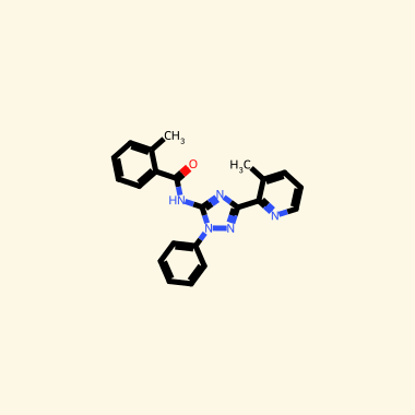 Cc1ccccc1C(=O)Nc1nc(-c2ncccc2C)nn1-c1ccccc1